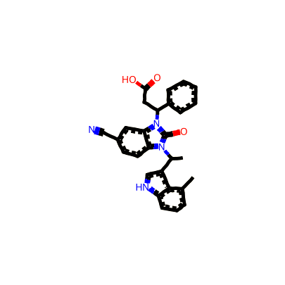 Cc1cccc2[nH]cc(C(C)n3c(=O)n(C(CC(=O)O)c4ccccc4)c4cc(C#N)ccc43)c12